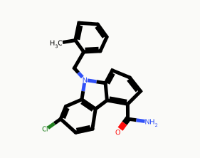 Cc1ccccc1Cn1c2cc(Cl)c[c]c2c2c(C(N)=O)cccc21